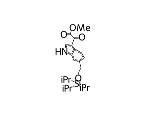 COC(=O)C(=O)c1c[nH]c2cc(CCO[Si](C(C)C)(C(C)C)C(C)C)ccc12